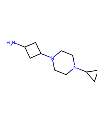 NC1CC(N2CCN(C3CC3)CC2)C1